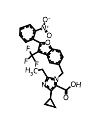 CCc1nc(C2CC2)c(C(=O)O)n1Cc1ccc2oc(-c3ccccc3[N+](=O)[O-])c(C(F)(F)F)c2c1